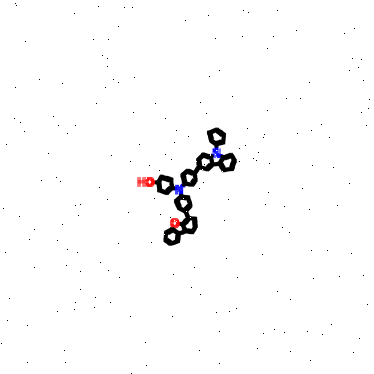 Oc1ccc(N(c2ccc(-c3ccc4c(c3)c3ccccc3n4-c3ccccc3)cc2)c2ccc(-c3cccc4c3oc3ccccc34)cc2)cc1